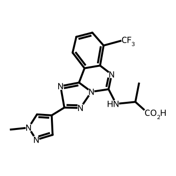 CC(Nc1nc2c(C(F)(F)F)cccc2c2nc(-c3cnn(C)c3)nn12)C(=O)O